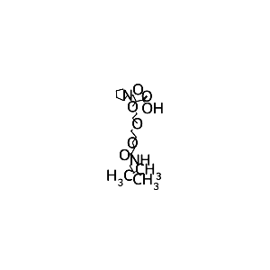 CC(C)(C)CNC(=O)COCCOCCOC(C(=O)O)C(=O)N1CCCC1